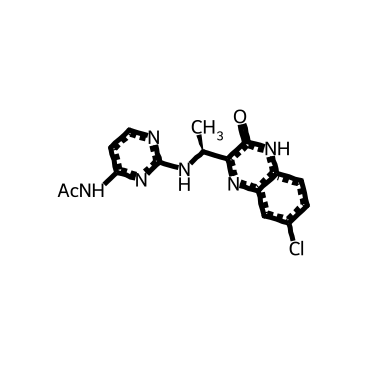 CC(=O)Nc1ccnc(N[C@@H](C)c2nc3cc(Cl)ccc3[nH]c2=O)n1